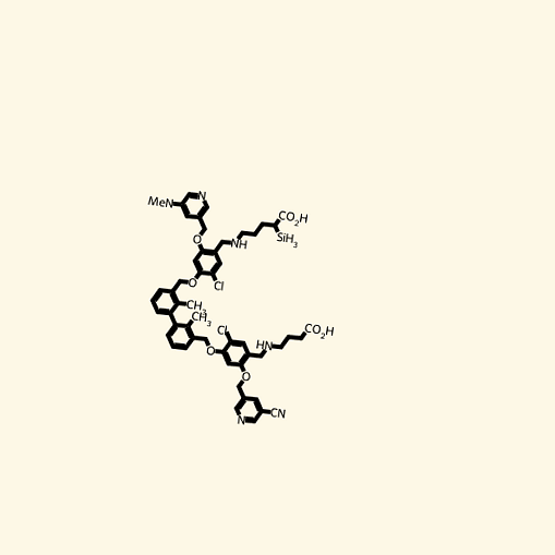 CNc1cncc(COc2cc(OCc3cccc(-c4cccc(COc5cc(OCc6cncc(C#N)c6)c(CNCCCC(=O)O)cc5Cl)c4C)c3C)c(Cl)cc2CNCCCC([SiH3])C(=O)O)c1